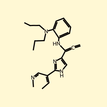 C=C=C(Nc1ccccc1N(CCC)CCC)c1c[nH]c(C(/C=N\C)=C/C)n1